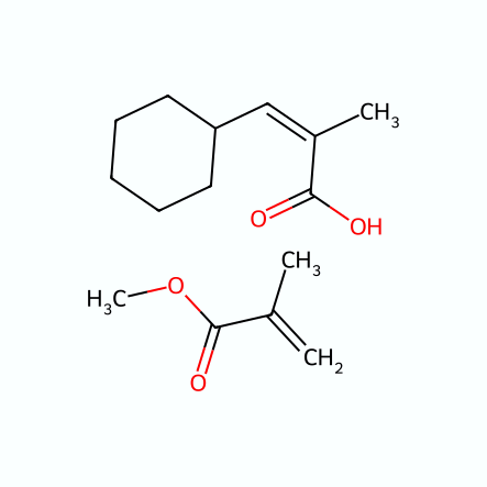 C=C(C)C(=O)OC.CC(=CC1CCCCC1)C(=O)O